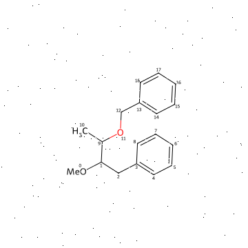 COC(Cc1ccccc1)C(C)OCc1ccccc1